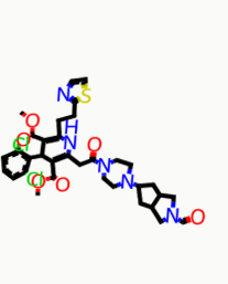 COC(=O)C1=C(CCc2nccs2)NC(CC(=O)N2CCN(C3CC4CN(C=O)CC4C3)CC2)=C(C(=O)OC)C1c1c(Cl)cccc1Cl